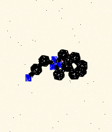 N#Cc1ccc(-c2cccc(-c3nc(-c4ccccc4)nc(-c4ccccc4-c4cc5ccc6cccc7c8cccc9ccc%10cccc(c(c4)c5c67)c%10c98)n3)c2)cc1